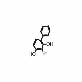 CCc1c(O)ccc(-c2ccccc2)c1O